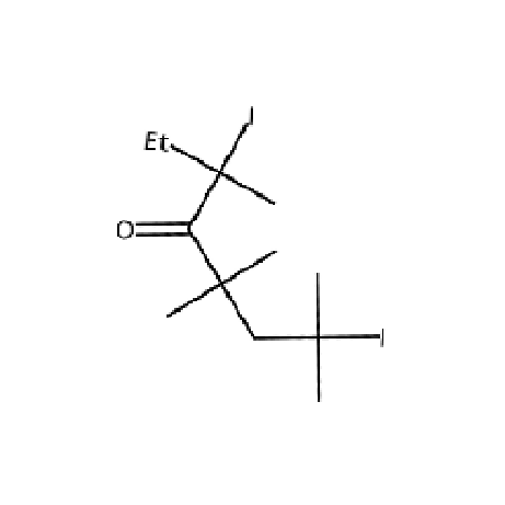 CCC(C)(I)C(=O)C(C)(C)CC(C)(C)I